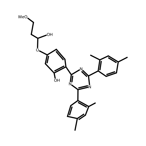 COCCC(O)Oc1ccc(-c2nc(-c3ccc(C)cc3C)nc(-c3ccc(C)cc3C)n2)c(O)c1